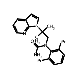 CC(C)c1cccc(C(C)C)c1N(CC(C)(C)n1ccc2cccnc21)C(N)=O